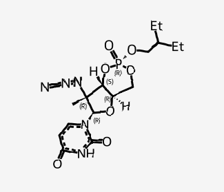 CCC(CC)CO[P@]1(=O)OC[C@H]2O[C@@H](n3ccc(=O)[nH]c3=O)[C@](C)(N=[N+]=[N-])[C@@H]2O1